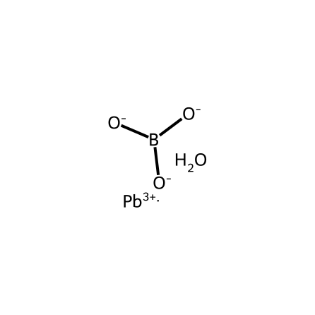 O.[O-]B([O-])[O-].[Pb+3]